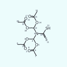 CC(=O)OC(OC(C)=O)N(C(=S)S)C(OC(C)=O)OC(C)=O